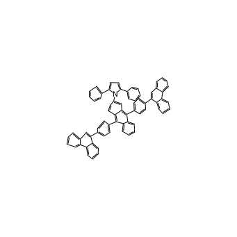 c1ccc(-c2ccc(-c3ccccc3)n2-c2ccc3c(-c4ccc(-c5cc6ccccc6c6ccccc56)cc4)c4ccccc4c(-c4ccc(-c5cc6ccccc6c6ccccc56)cc4)c3c2)cc1